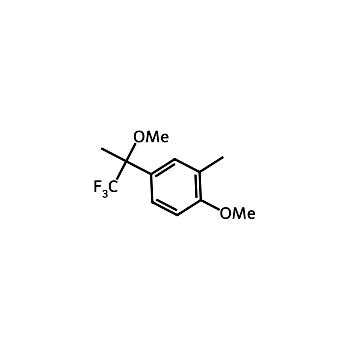 COc1ccc(C(C)(OC)C(F)(F)F)cc1C